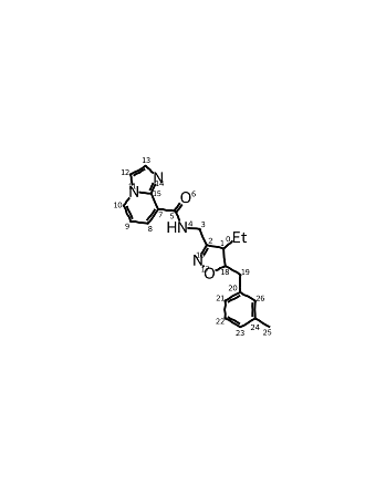 CCC1C(CNC(=O)c2cccn3ccnc23)=NOC1Cc1cccc(C)c1